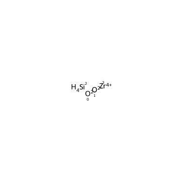 [O-2].[O-2].[SiH4].[Zr+4]